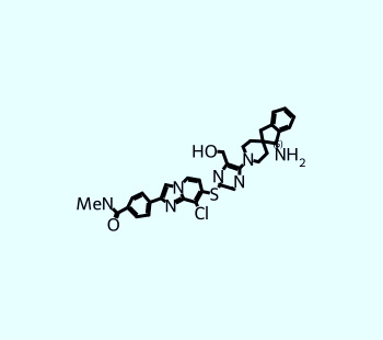 CNC(=O)c1ccc(-c2cn3ccc(Sc4cnc(N5CCC6(CC5)Cc5ccccc5[C@H]6N)c(CO)n4)c(Cl)c3n2)cc1